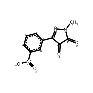 CN1N=C(c2cccc([N+](=O)[O-])c2)C(=O)C1=O